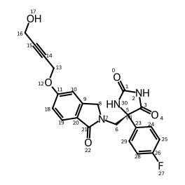 O=C1NC(=O)[C@](CN2Cc3cc(OCC#CCO)ccc3C2=O)(c2ccc(F)cc2)N1